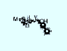 COCC(C)(COC)C(=O)NCCCN(C)CCC1(O)CC2CCC1C=C2c1ccccc1